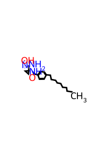 CCCCCCCCCCc1ccc(C(=O)NC2(/C(N)=N/O)CC2)cc1